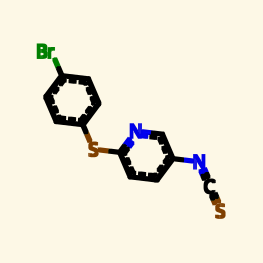 S=C=Nc1ccc(Sc2ccc(Br)cc2)nc1